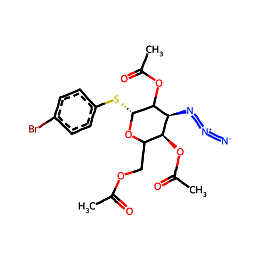 CC(=O)OCC1O[C@H](Sc2ccc(Br)cc2)C(OC(C)=O)[C@@H](N=[N+]=[N-])[C@H]1OC(C)=O